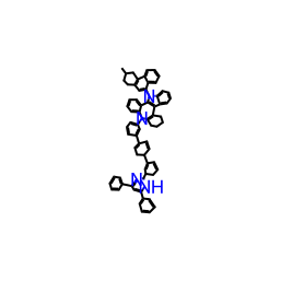 CC1CCc2cc(-n3c4c(c5ccccc53)C3=C(CCCC3)N(c3cccc(C5=CCC(C6=CC(C7N=C(c8ccccc8)C=C(c8ccccc8)N7)CC=C6)C=C5)c3)c3ccccc3-4)c3ccccc3c2C1